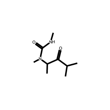 CNC(=O)N(C)C(C)C(=O)C(C)C